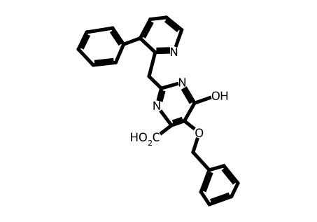 O=C(O)c1nc(Cc2ncccc2-c2ccccc2)nc(O)c1OCc1ccccc1